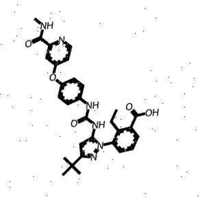 CCc1c(C(=O)O)cccc1-n1nc(C(C)(C)C)cc1NC(=O)Nc1ccc(Oc2ccnc(C(=O)NC)c2)cc1